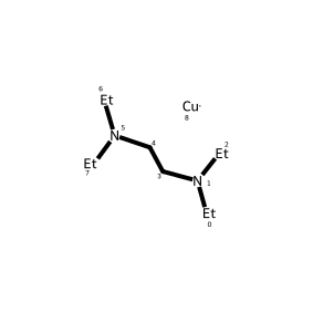 CCN(CC)CCN(CC)CC.[Cu]